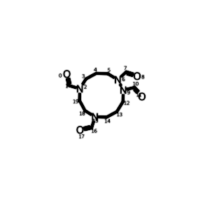 O=CN1CCCN(C=O)N(C=O)CCCN(C=O)CC1